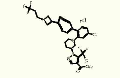 Cl.O=C(O)c1cnn(C2CCCN(c3cc(Cl)ccc3-c3ccc(C4CN(CCC(F)(F)F)C4)cc3)C2)c1C(F)(F)F